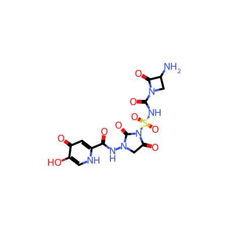 NC1CN(C(=O)NS(=O)(=O)N2C(=O)CN(NC(=O)c3cc(=O)c(O)c[nH]3)C2=O)C1=O